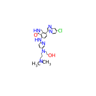 CN(C)CCCN(CCO)c1ccc(Nc2ccc(-c3cnc4cc(Cl)ccn34)c3c2C(=O)NC3)nc1